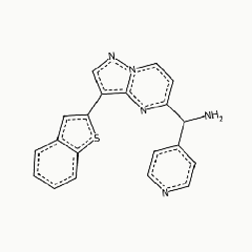 NC(c1ccncc1)c1ccn2ncc(-c3cc4ccccc4s3)c2n1